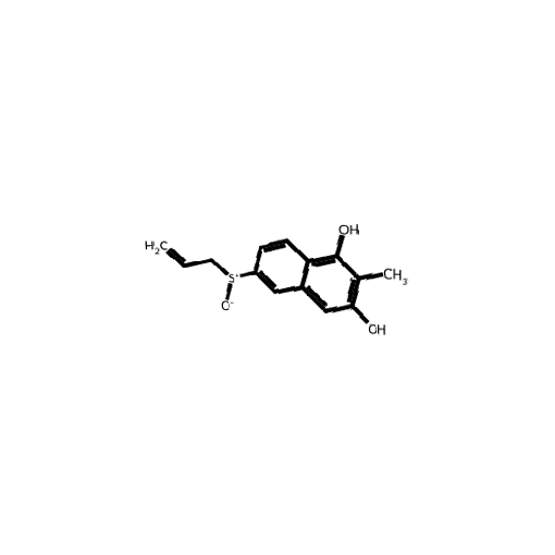 C=CC[S+]([O-])c1ccc2c(O)c(C)c(O)cc2c1